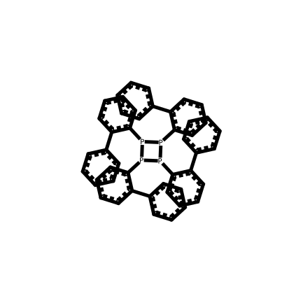 c1ccc(-c2ccccc2P2P(c3ccccc3-c3ccccc3)P(c3ccccc3-c3ccccc3)P2c2ccccc2-c2ccccc2)cc1